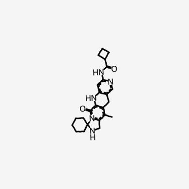 Cc1c2c(c(=O)n3c1CNC31CCCCC1)Nc1cc(NC(=O)C3CCC3)ncc1C2